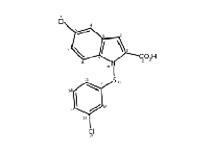 O=C(O)c1cc2cc(Cl)ccc2n1Sc1cccc(Cl)c1